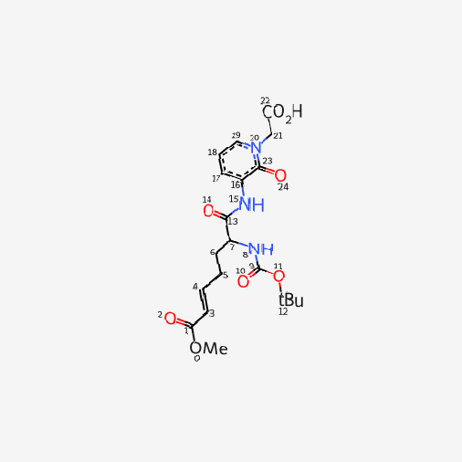 COC(=O)/C=C/CCC(NC(=O)OC(C)(C)C)C(=O)Nc1cccn(CC(=O)O)c1=O